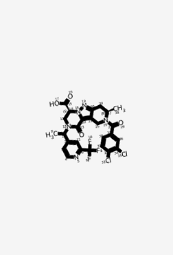 CC(c1ccnc(C(F)(F)F)c1)N1C[C@@H](C(=O)O)n2nc3c(c2C1=O)CN(C(=O)c1ccc(Cl)c(Cl)c1)[C@H](C)C3